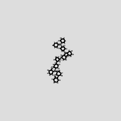 c1ccc(N(c2ccccc2)c2ccc(-n3c4ccccc4c4ccc(-c5cccc(-c6ccc7c(c6)Oc6ccccc6N7c6cccc7c6oc6ccccc67)c5)cc43)cc2)cc1